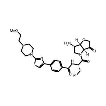 COCCN1CCN(c2nc(-c3ccc(C(=O)N[C@@H](CC(C)C)C(=O)N4C[C@@H](N)[C@H]5OCC(=O)[C@H]54)cc3)cs2)CC1